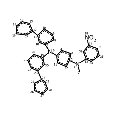 CN(c1ccc(N(c2cccc(-c3ccccc3)c2)c2cccc(-c3ccccc3)c2)cc1)c1cccc([N+](=O)[O-])c1